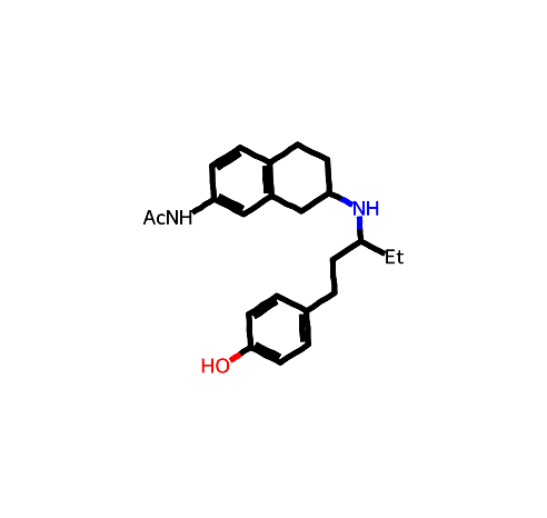 CCC(CCc1ccc(O)cc1)NC1CCc2ccc(NC(C)=O)cc2C1